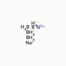 [BH4-].[BH4-].[BH4-].[BH4-].[N+3].[Na+]